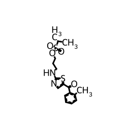 Cc1ccccc1C(=O)c1cnc(NCCCOS(=O)(=O)C(C)C)s1